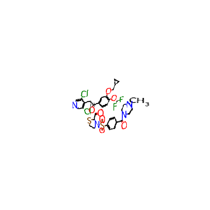 CN1CCN(C(=O)c2ccc(S(=O)(=O)N3CCSC3C(=O)O[C@@H](Cc3c(Cl)cncc3Cl)c3ccc(OC(F)F)c(OCC4CC4)c3)cc2)CC1